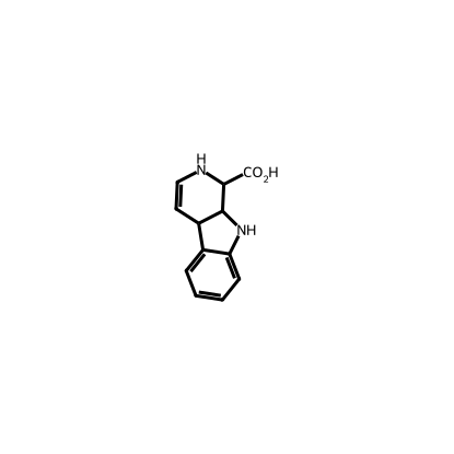 O=C(O)C1NC=CC2c3ccccc3NC12